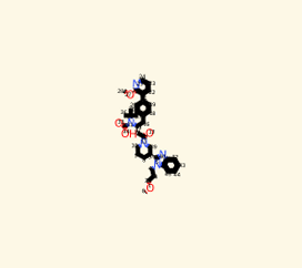 COCCCn1c([C@@H]2CCCN(C(=O)C[C@@H](Cc3ccc(-c4cccnc4OC)cc3)N(C(=O)O)C(C)(C)C)C2)nc2ccccc21